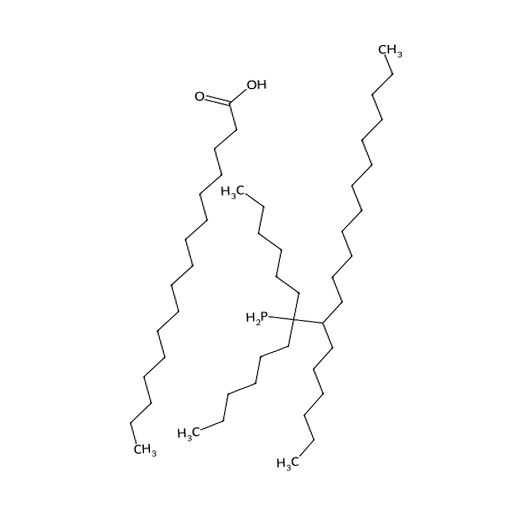 CCCCCCCCCCCCC(CCCCCC)C(P)(CCCCCC)CCCCCC.CCCCCCCCCCCCCCCC(=O)O